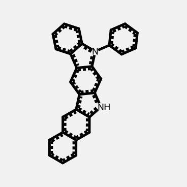 c1ccc(-n2c3ccccc3c3cc4c(cc32)[nH]c2cc3ccccc3cc24)cc1